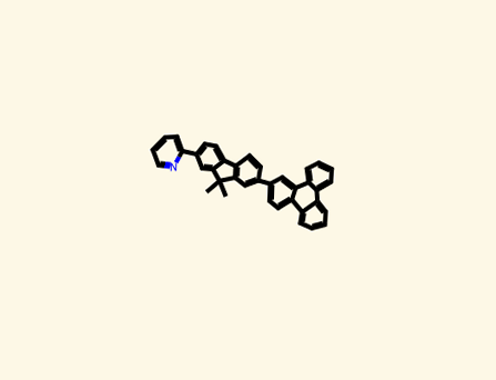 CC1(C)c2cc(-c3ccc4c5ccccc5c5ccccc5c4c3)ccc2-c2ccc(-c3ccccn3)cc21